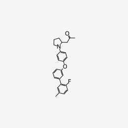 CC(=O)CC1CCCN1c1ccc(Oc2cccc(-c3cc(C)ccc3F)c2)cc1